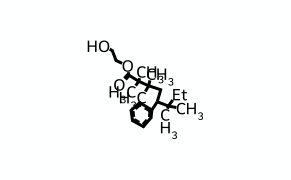 CCC(C)(C)C(CC(C)(C)C(C)(C)C(=O)OCCO)c1ccccc1